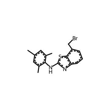 Cc1cc(C)c(Nc2nc3cccc(CBr)c3s2)c(C)c1